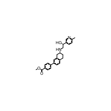 COC(=O)c1ccc(-c2ccc3c(c2)C[C@@H](NC[C@@H](O)c2ccc(C)nc2)CC3)cc1